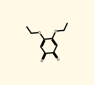 CCOC1=CC(=O)C(=O)C=C1OCC